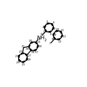 Cc1ccccc1.Cc1ccccc1.Nc1ccc2c(c1)Cc1ccccc1-2